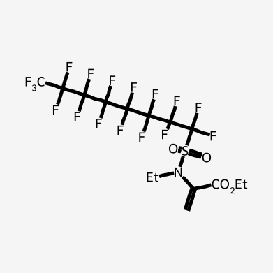 C=C(C(=O)OCC)N(CC)S(=O)(=O)C(F)(F)C(F)(F)C(F)(F)C(F)(F)C(F)(F)C(F)(F)C(F)(F)C(F)(F)F